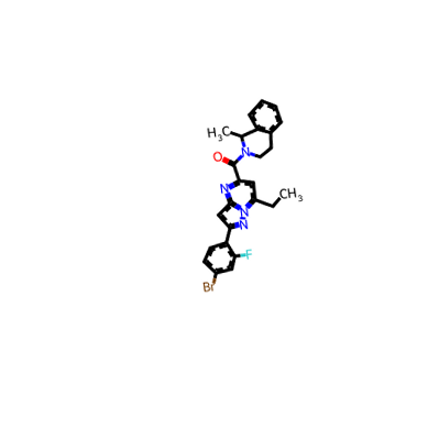 CCc1cc(C(=O)N2CCc3ccccc3C2C)nc2cc(-c3ccc(Br)cc3F)nn12